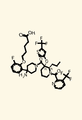 CCC[C@H]1N(C(=O)c2ncccc2C(F)(F)F)CCC[C@@]1(Oc1csc(C(F)(F)F)c1)C(=O)N1CCC(N)(c2cccc(F)c2OCCCCC(=O)O)CC1